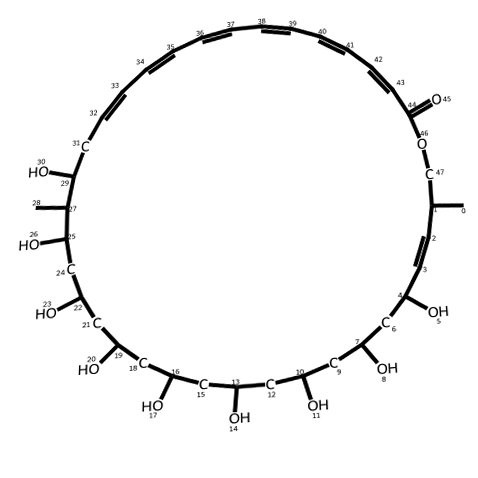 CC1C=CC(O)CC(O)CC(O)CC(O)CC(O)CC(O)CC(O)CC(O)C(C)C(O)CC=CC=CC=CC=CC=CC=CC(=O)OC1